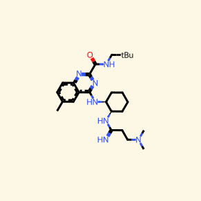 Cc1ccc2nc(C(=O)NCC(C)(C)C)nc(N[C@H]3CCCC[C@H]3NC(=N)CCN(C)C)c2c1